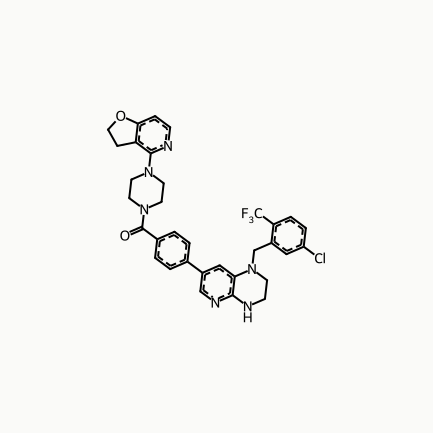 O=C(c1ccc(-c2cnc3c(c2)N(Cc2cc(Cl)ccc2C(F)(F)F)CCN3)cc1)N1CCN(c2nccc3c2CCO3)CC1